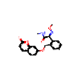 CNC(=O)/C(=N\OC)c1ccccc1COc1ccc2ccc(=O)oc2c1